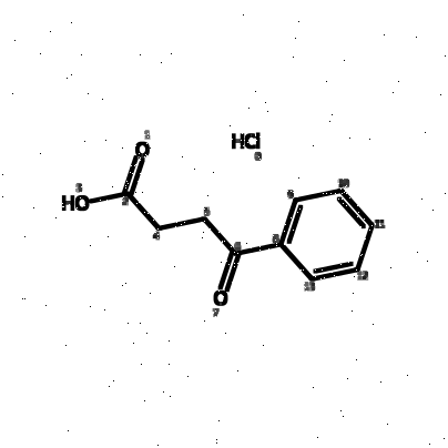 Cl.O=C(O)CCC(=O)c1ccccc1